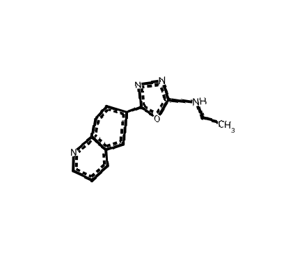 CCNc1nnc(-c2ccc3ncccc3c2)o1